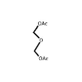 CC(=O)OCOCOC(C)=O